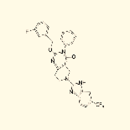 O=c1c2c(nc(OCc3cccc(F)c3)n1-c1ccccc1)CCN(c1nc3ccc(C(F)(F)F)cc3[nH]1)C2